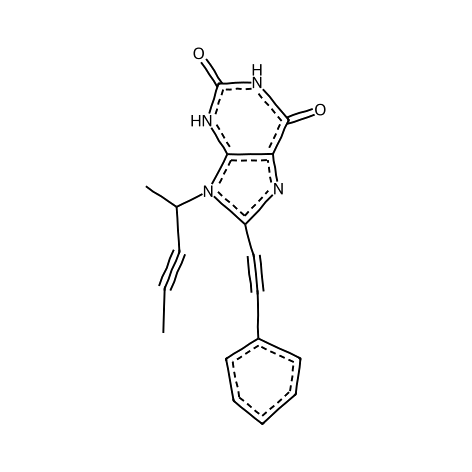 CC#CC(C)n1c(C#Cc2ccccc2)nc2c(=O)[nH]c(=O)[nH]c21